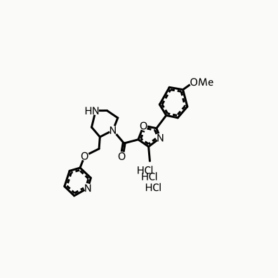 COc1ccc(-c2nc(C)c(C(=O)N3CCNCC3COc3cccnc3)o2)cc1.Cl.Cl.Cl